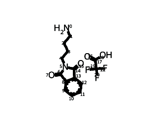 NCCCCN1C(=O)c2ccccc2C1=O.O=C(O)C(F)(F)F